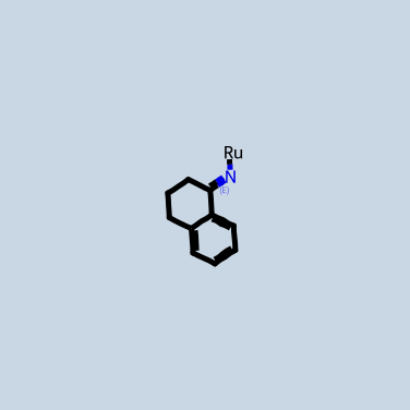 [Ru]/[N]=C1\CCCc2ccccc21